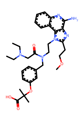 CCN(CC)CC(=O)N(CCn1c(CCOC)nc2c(N)nc3ccccc3c21)Cc1cccc(OC(C)(C)C(=O)O)c1